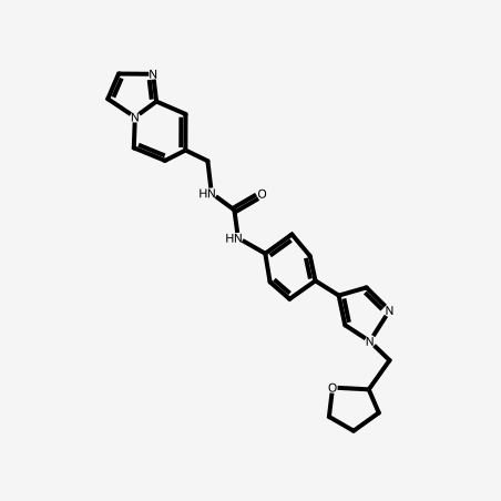 O=C(NCc1ccn2ccnc2c1)Nc1ccc(-c2cnn(CC3CCCO3)c2)cc1